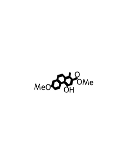 COC(=O)c1cc(O)c2c(ccc3cc(OC)ccc32)c1C